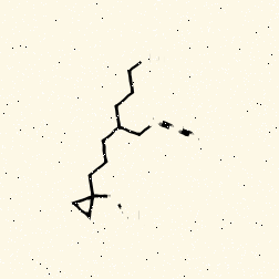 CC(C)(C)CCCC(CCCC1(ON)CC1)CN=[N+]=[N-]